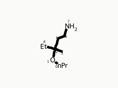 CCCOC(C)(CC)CCN